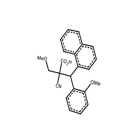 COCC(C#N)(C(=O)O)C(c1ccccc1OC)c1cccc2ccccc12